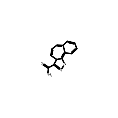 NC(=O)C1=NOC2=c3ccccc3=CC=CC12